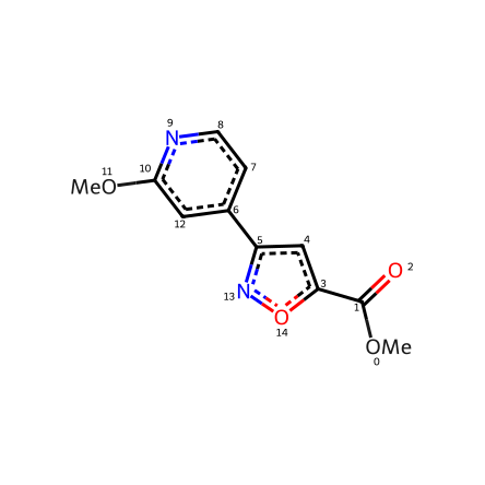 COC(=O)c1cc(-c2ccnc(OC)c2)no1